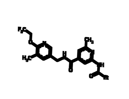 CCC(=O)Nc1cc(C(=O)NCc2cnc(OCC(F)(F)F)c(C)c2)cc(C)n1